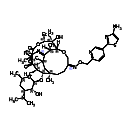 CCC(=O)/N=C1\[C@H](C)C[C@@]2(C)CC/C(=N/OCc3ccc(-c4nc(N)cs4)cn3)CO[C@H]([C@H]1C)[C@](C)(O)[C@@H](CC)OC(=O)[C@@](C)(F)C(=O)[C@H](C)[C@H]2O[C@@H]1O[C@H](C)C[C@H](N(C)C)[C@H]1O